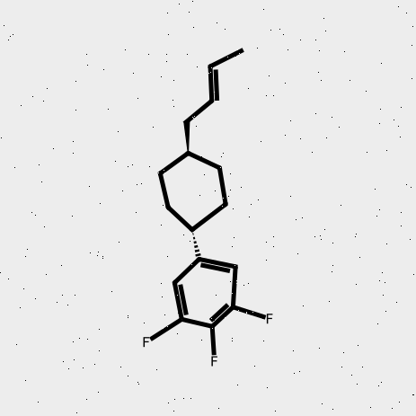 C/C=C/C[C@H]1CC[C@H](c2cc(F)c(F)c(F)c2)CC1